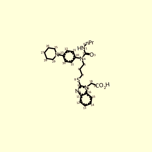 CCCNC(=O)N(CCCSc1nc2ccccc2n1CC(=O)O)c1ccc(N2CCCCC2)cc1